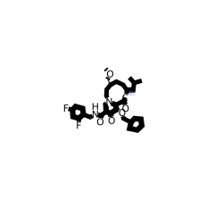 COC[C@@H]1CC/C(=C\C(C)C)CC(=O)c2c(OCc3ccccc3)c(=O)c(C(=O)NCc3ccc(F)cc3F)cn2CC1